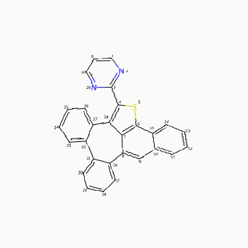 c1cnc(-c2sc3c4c(cc5ccccc53)-c3ccccc3-c3ccccc3-c24)nc1